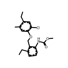 CCc1cc(Cl)c(OCc2c(CC)cccc2NC(=O)OC)cc1C